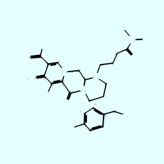 CN(C)C(=O)CCCN1CCCN2C(=O)c3c(O)c(=O)c(C(=O)O)cn3CC12.NCc1ccc(F)cc1